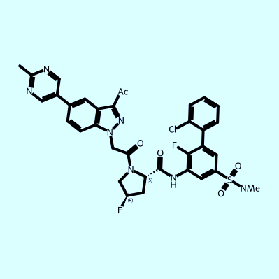 CNS(=O)(=O)c1cc(NC(=O)[C@@H]2C[C@@H](F)CN2C(=O)Cn2nc(C(C)=O)c3cc(-c4cnc(C)nc4)ccc32)c(F)c(-c2ccccc2Cl)c1